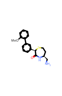 COc1ccccc1-c1cccc([C@H]2SCC[C@@H](CN)NC2=O)c1